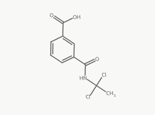 CC(Cl)(Cl)NC(=O)c1cccc(C(=O)O)c1